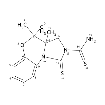 CC1(C)Oc2ccccc2N2C(=S)N(C(N)=S)CC21C